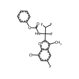 Cc1c(C(F)(NC(=O)Oc2ccccc2)C(F)F)oc2c(Cl)cc(F)cc12